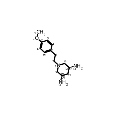 COc1ccc(CCN2C[C@H](N)C[C@H](N)C2)cc1